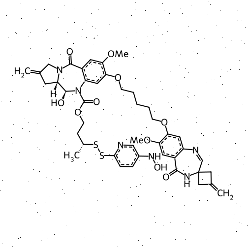 C=C1C[C@H]2[C@H](O)N(C(=O)OCC[C@@H](C)SSc3ccc(NO)cn3)c3cc(OCCCCCOc4cc5c(cc4OC)C(=O)NC4(C=N5)CC(=C)C4)c(OC)cc3C(=O)N2C1